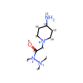 CN(C)N(C)C(=O)CN1CCC(N)CC1